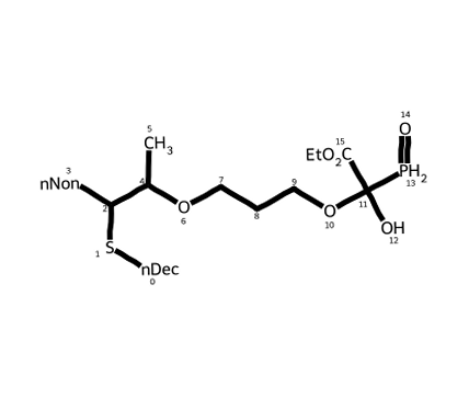 CCCCCCCCCCSC(CCCCCCCCC)C(C)OCCCOC(O)([PH2]=O)C(=O)OCC